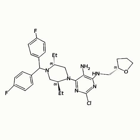 CC[C@H]1CN(C(c2ccc(F)cc2)c2ccc(F)cc2)[C@H](CC)CN1c1nc(Cl)nc(NC[C@@H]2CCCO2)c1N